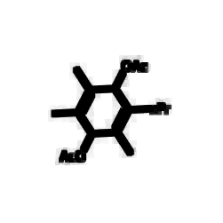 CCCC1=C(C)C(OC(C)=O)C(C)=C(C)C1OC(C)=O